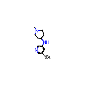 CN1CCC(Nc2cncc(C(C)(C)C)c2)CC1